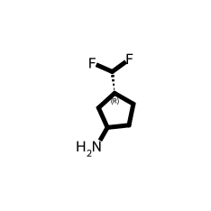 NC1CC[C@@H](C(F)F)C1